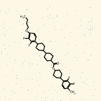 CCCCOc1ccc(C2CCC(C3CCC(C(=O)OC4CCC(c5ccc(C)c(F)c5F)CC4)CC3)CC2)c(F)c1F